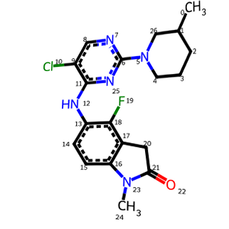 CC1CCCN(c2ncc(Cl)c(Nc3ccc4c(c3F)CC(=O)N4C)n2)C1